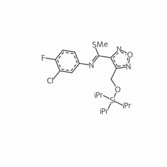 CS/C(=N\c1ccc(F)c(Cl)c1)c1nonc1CO[Si](C(C)C)(C(C)C)C(C)C